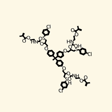 C=C(C)C(=O)OCCNC(=O)OC(COc1ccc(C(C)(c2ccc(OCC(CSc3ccc(Cl)cc3)OC(O)NCCOC(=O)C(=C)C)cc2)c2ccc(OCC(CSc3ccc(Cl)cc3)OC(O)NCCOC(=O)C(=C)C)cc2)cc1)CSc1ccc(Cl)cc1